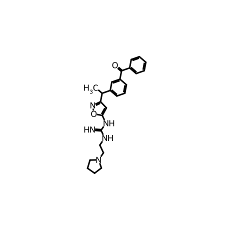 CC(c1cccc(C(=O)c2ccccc2)c1)c1cc(NC(=N)NCCN2CCCC2)on1